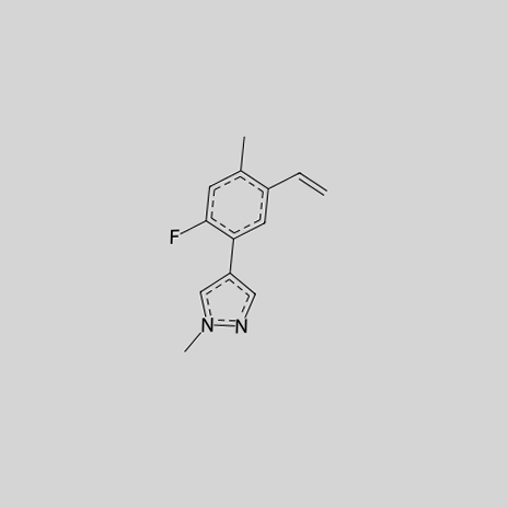 C=Cc1cc(-c2cnn(C)c2)c(F)cc1C